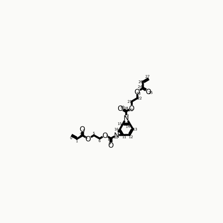 C=CC(=O)OCCOC(=O)n1c2ccc3c(c21)n3C(=O)OCCOC(=O)C=C